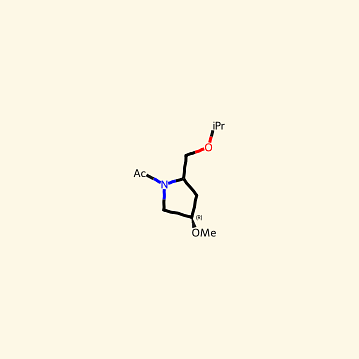 CO[C@@H]1CC(COC(C)C)N(C(C)=O)C1